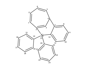 C1=CC2=CC(C=C1)c1ccccc1[Si]2(c1ccccc1)c1ccccc1